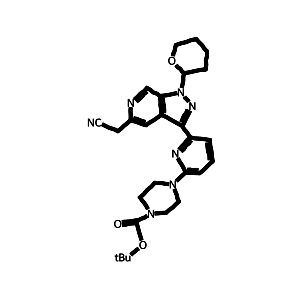 CC(C)(C)OC(=O)N1CCN(c2cccc(-c3nn(C4CCCCO4)c4cnc(CC#N)cc34)n2)CC1